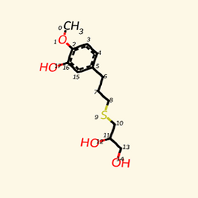 COc1ccc(CCCSCC(O)CO)cc1O